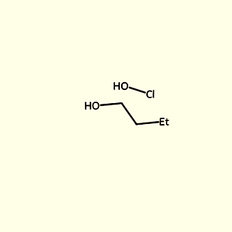 CCCCO.OCl